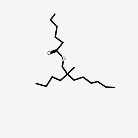 CCCCCCC(C)(CCCC)COC(=O)CCCCC